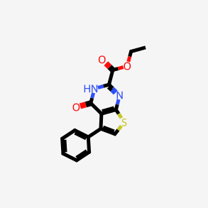 CCOC(=O)c1nc2scc(-c3ccccc3)c2c(=O)[nH]1